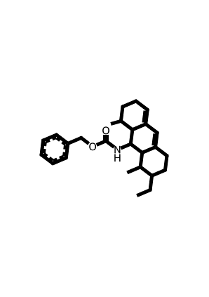 CCC1CCC2=CC3=CCCC(C)C3C(NC(=O)OCc3ccccc3)C2C1C